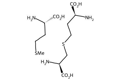 CSCC[C@H](N)C(=O)O.N[C@@H](CCSC[C@H](N)C(=O)O)C(=O)O